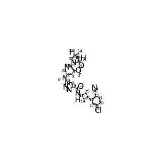 COc1cc([C@@H](C)n2cc(C(=O)N[C@H]3C[C@@H](c4cc(Cl)ccc4C#N)C3)nn2)cnc1N1C[C@H]2C[C@H]2C1=O